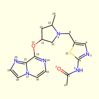 CC(=O)Nc1ncc(CN2CC(Oc3nccn4ccnc34)CC2C)s1